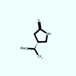 COC([C@H]1CNC(=O)C1)C(F)(F)F